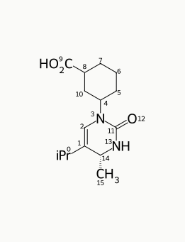 CC(C)C1=CN(C2CCCC(C(=O)O)C2)C(=O)N[C@@H]1C